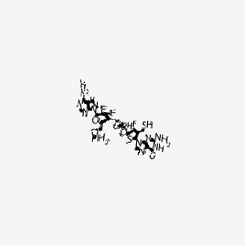 Nc1nc2c(ncn2[C@@H]2SC(OPOC[C@@H]3[C@@H](COP)O[C@@H](n4nnc5c(N)ncnc54)C3(F)F)[C@H](F)[C@H]2CS)c(=O)[nH]1